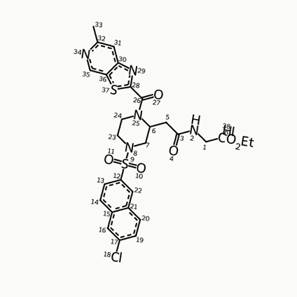 CCOC(=O)CNC(=O)CC1CN(S(=O)(=O)c2ccc3cc(Cl)ccc3c2)CCN1C(=O)c1nc2cc(C)ncc2s1.I